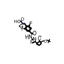 CO/C(=C\c1c(F)cc(C(=O)Nc2nc(-c3cccc(COCC(C)(C)C)c3OC)cs2)cc1F)C(=O)O